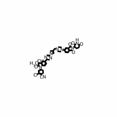 CC1(C)C(=O)N(C2=CC(Cl)=C(C#N)CC2)c2ccc(-c3cnc(N4CC(CN5CCN(c6ccc7c(c6)C(=O)N(C6CCC(=O)NC6=O)C7=O)CC5)C4)cn3)cc21